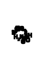 CN(C)Cc1cccc(OC/C=C\CNc2c(N)c(=O)c2=O)c1